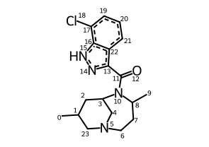 CC1CC2CN(CCC(C)N2C(=O)c2n[nH]c3c(Cl)cccc23)C1